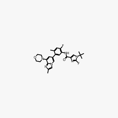 Cc1cn2cc(-c3cc(NC(=O)c4cn(C(C)(C)C)c(F)n4)c(F)cc3C)cc(N3CCOCC3)c2n1